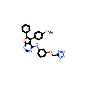 COc1ccc(-c2c(-c3ccccc3)oc3ncnc(Nc4cccc(OCc5nnn[nH]5)c4)c23)cc1